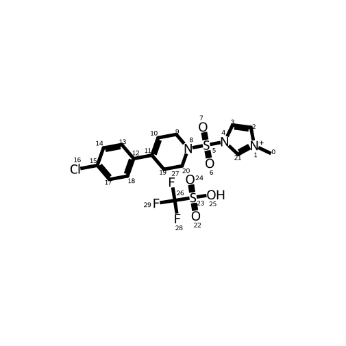 C[n+]1ccn(S(=O)(=O)N2CC=C(c3ccc(Cl)cc3)CC2)c1.O=S(=O)(O)C(F)(F)F